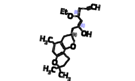 C#C/C=C(\C=C(\O)C[C@H]1COc2c(c(C)cc3c2CCC(C)(C)O3)C1)OCC